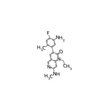 CCn1c(=O)c(-c2cc(N)c(F)cc2C)cc2cnc(NC)cc21